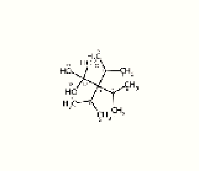 CC(C)C(C(C)C)(C(C)C)C(O)(O)O